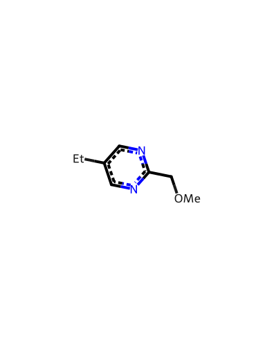 CCc1cnc(COC)nc1